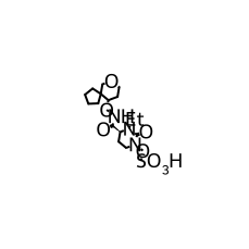 CCN1C(=O)N(OS(=O)(=O)O)CC[C@H]1C(=O)NOC1CCOCC12CCCC2